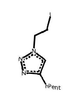 CCCCCc1cn(CCI)nn1